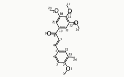 COc1ccc(/C=C/C(=O)c2cc(OC)c(OC)c(OC)c2)cc1C